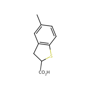 Cc1ccc2c(c1)CC(C(=O)O)S2